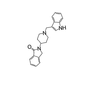 O=C1c2ccccc2CN1C1CCN(Cc2c[nH]c3ccccc23)CC1